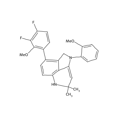 COc1ccccc1N1Cc2c(-c3ccc(F)c(F)c3OC)ccc3c2C1=CC(C)(C)N3